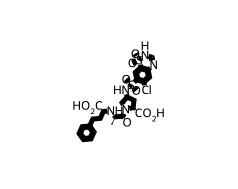 C[C@H](N[C@@H](CCc1ccccc1)C(=O)O)C(=O)N1CC(NS(=O)(=O)c2cc3c(cc2Cl)N=CNS3(=O)=O)C[C@H]1C(=O)O